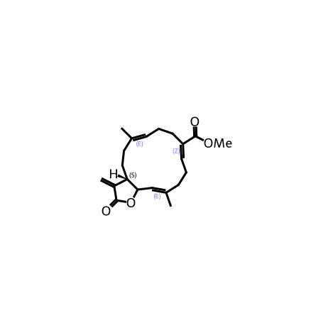 C=C1C(=O)OC2/C=C(\C)CC/C=C(\C(=O)OC)CC/C=C(\C)CC[C@@H]12